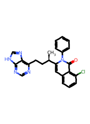 C[C@H](CCc1ncnc2[nH]cnc12)c1cc2cccc(Cl)c2c(=O)n1-c1ccccc1